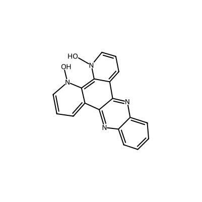 ON1C=CC=c2c1c1c(c3nc4ccccc4nc23)=CC=CN1O